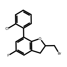 Fc1cc2c(c(-c3ccccc3Cl)c1)OC(CBr)C2